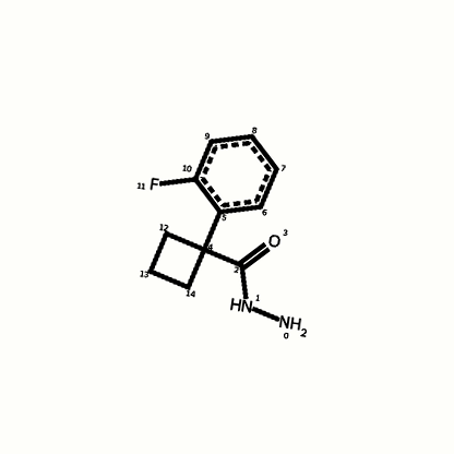 NNC(=O)C1(c2ccccc2F)CCC1